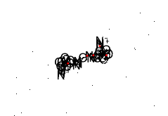 CC(=O)O[C@@H]1[C@H](OC(C)=O)[C@@H](OCc2cn(CCOCCn3cc(CO[C@H]4O[C@H](CN=[N+]=[N-])[C@@H](OC(C)=O)[C@H](OC(C)=O)[C@@H]4OC(C)=O)nn3)nn2)O[C@H](CN=[N+]=[N-])[C@H]1OC(C)=O